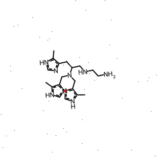 Cc1[nH]cnc1CC(CNCCN)N(Cc1nc[nH]c1C)Cc1nc[nH]c1C